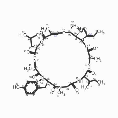 C/C=C(\C)[C@H]1OC(=O)[C@@H](C)NC(=O)C(C(C)CC)NC(=O)CN(C)C(=O)[C@@H](Cc2ccc(O)cc2)N(C)C(=O)[C@H](C)NC(=O)[C@@H](CC(C)C)OC(=O)/C(C)=C/C[C@H](N)[C@@H]1C